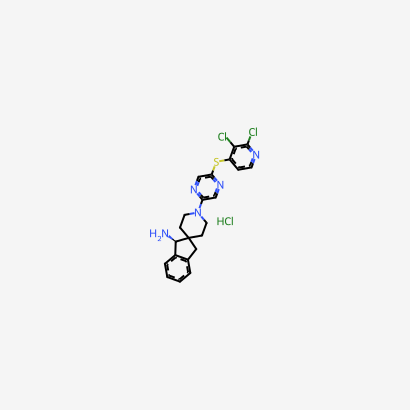 Cl.N[C@@H]1c2ccccc2CC12CCN(c1cnc(Sc3ccnc(Cl)c3Cl)cn1)CC2